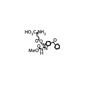 COC(=O)Nc1nc2cc(C(=O)c3ccccc3)ccc2n1COC(=O)CC[C@H](N)C(=O)O